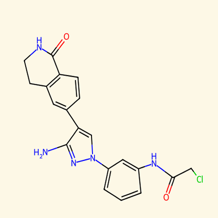 Nc1nn(-c2cccc(NC(=O)CCl)c2)cc1-c1ccc2c(c1)CCNC2=O